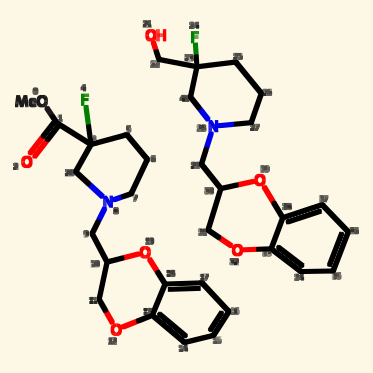 COC(=O)C1(F)CCCN(CC2COc3ccccc3O2)C1.OCC1(F)CCCN(CC2COc3ccccc3O2)C1